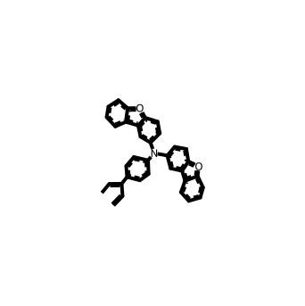 C=C/C(=C\C)c1ccc(N(c2ccc3oc4ccccc4c3c2)c2ccc3oc4ccccc4c3c2)cc1